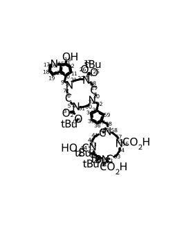 CC(C)(C)OC(=O)N1CCCN(Cc2ccc(O)c3ncccc23)CCN(C(=O)OC(C)(C)C)CCCN(Cc2cccc(CN3CCCN(C(=O)O)C(C(C)(C)C)(C(C)(C)C)C(C(C)(C)C)N(C(=O)O)CCCN(C(=O)O)CC3)c2)CC1